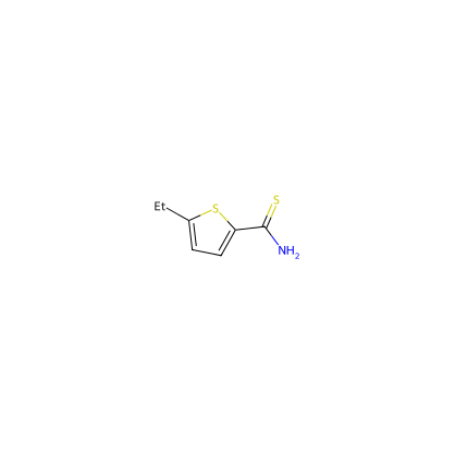 CCc1ccc(C(N)=S)s1